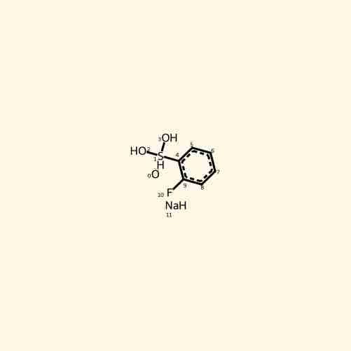 O=[SH](O)(O)c1ccccc1F.[NaH]